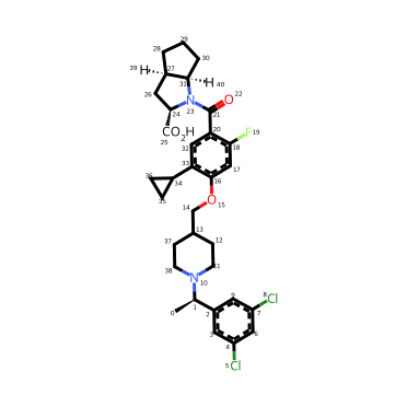 C[C@H](c1cc(Cl)cc(Cl)c1)N1CCC(COc2cc(F)c(C(=O)N3[C@@H](C(=O)O)C[C@H]4CCC[C@H]43)cc2C2CC2)CC1